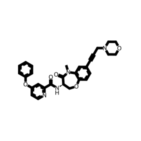 CN1C(=O)[C@@H](NC(=O)c2cc(Oc3ccccc3)ccn2)COc2ccc(C#CCN3CCOCC3)cc21